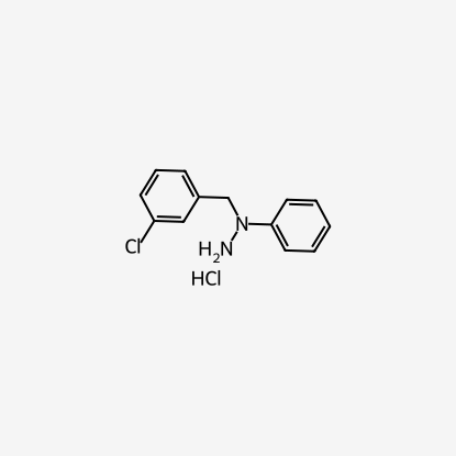 Cl.NN(Cc1cccc(Cl)c1)c1ccccc1